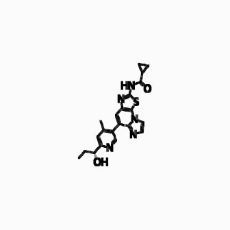 CC[C@@H](O)c1cc(C)c(-c2cc3nc(NC(=O)C4CC4)sc3n3ccnc23)cn1